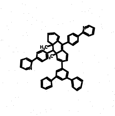 CC12C=C(c3cc(-c4ccccc4)cc(-c4ccccc4)c3)C=CC1=C(c1ccc(-c3ccccn3)cc1)C1=CC=CCC1(C)C2c1ccc(-c2ccccn2)cc1